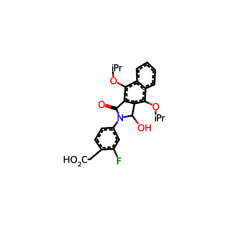 CC(C)Oc1c2c(c(OC(C)C)c3ccccc13)C(O)N(c1ccc(CC(=O)O)c(F)c1)C2=O